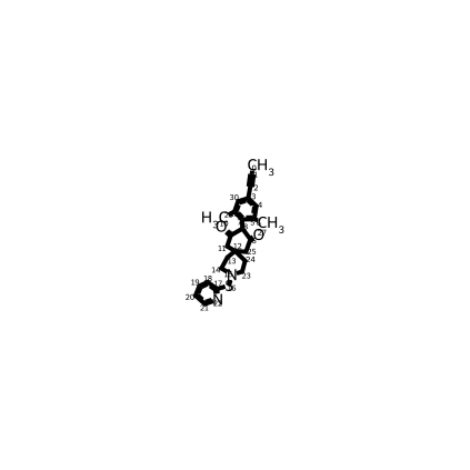 CC#Cc1cc(C)c(C2C(=O)CC3(CCN(Sc4ccccn4)CC3)CC2=O)c(C)c1